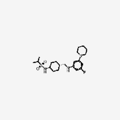 CC(C)S(=O)(=O)N[C@H]1CC[C@H](CNc2cc(F)cc(N3CCCCC3)c2)CC1